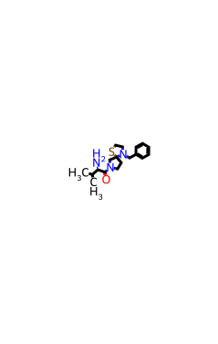 CC(C)[C@H](N)C(=O)N1CCC2(C1)SCCN2Cc1ccccc1